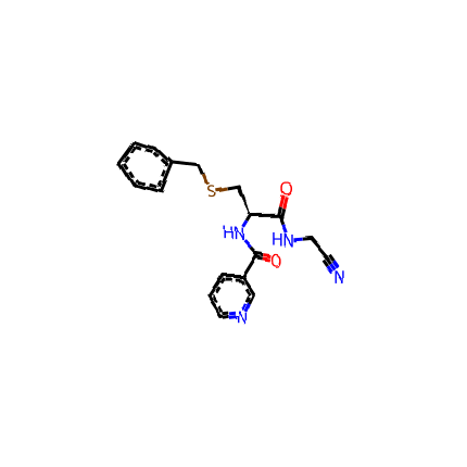 N#CCNC(=O)[C@H](CSCc1ccccc1)NC(=O)c1cccnc1